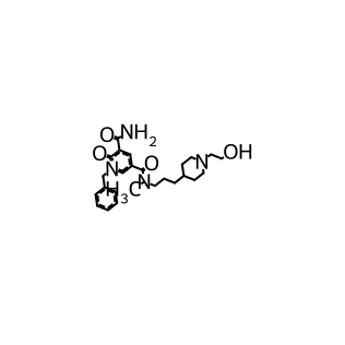 CN(CCCC1CCN(CCO)CC1)C(=O)c1cc(C(N)=O)c(=O)n(Cc2ccccc2)c1